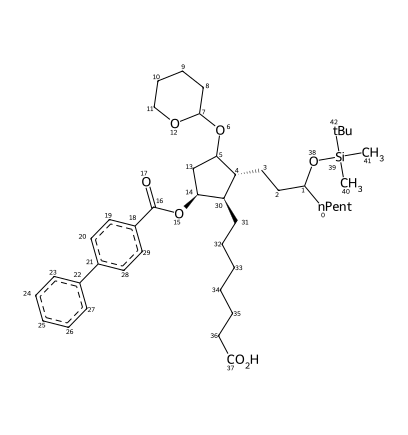 CCCCCC(CC[C@H]1C(OC2CCCCO2)C[C@H](OC(=O)c2ccc(-c3ccccc3)cc2)[C@@H]1CCCCCCC(=O)O)O[Si](C)(C)C(C)(C)C